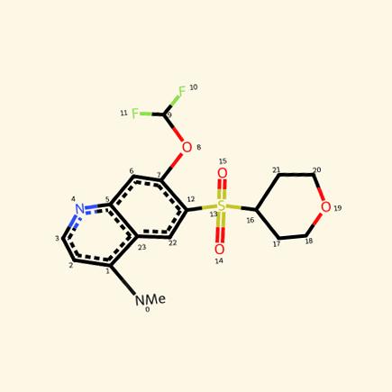 CNc1ccnc2cc(OC(F)F)c(S(=O)(=O)C3CCOCC3)cc12